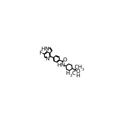 CC(C)(O)C1CCC(NC(=O)c2ccc(-c3ncc(F)c4[nH]ccc34)cc2)CC1